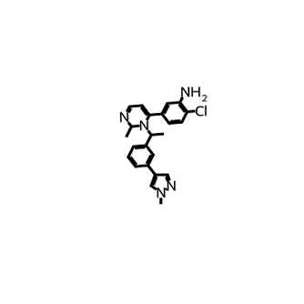 CC1N=CC=C(c2ccc(Cl)c(N)c2)N1C(C)c1cccc(-c2cnn(C)c2)c1